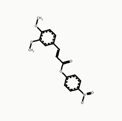 COc1ccc(/C=C/C(=O)Oc2ccc([N+](=O)[O-])cc2)cc1OC